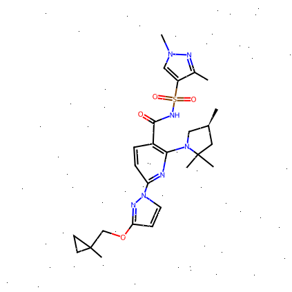 Cc1nn(C)cc1S(=O)(=O)NC(=O)c1ccc(-n2ccc(OCC3(C)CC3)n2)nc1N1C[C@@H](C)CC1(C)C